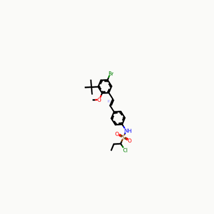 CCC(Cl)S(=O)(=O)Nc1ccc(/C=C/c2cc(Br)cc(C(C)(C)C)c2OC)cc1